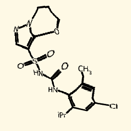 Cc1cc(Cl)cc(C(C)C)c1NC(=O)NS(=O)(=O)c1cnn2c1OCCC2